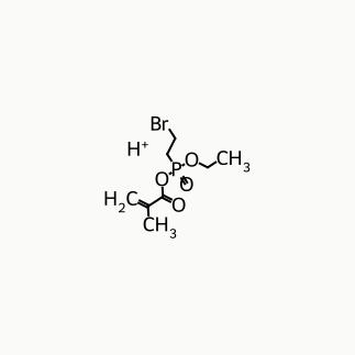 C=C(C)C(=O)OP(=O)(CCBr)OCC.[H+]